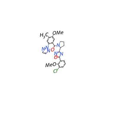 COc1cc(C(=O)N2CCCC2c2noc(-c3cccc(Cl)c3OC)n2)c(-n2nccn2)cc1C